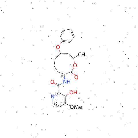 COc1ccnc(C(=O)N[C@H]2CCCC(Oc3ccccc3)CC(C)OC2=O)c1O